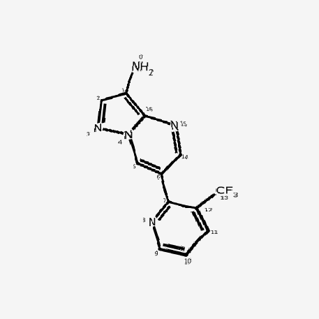 Nc1cnn2cc(-c3ncccc3C(F)(F)F)cnc12